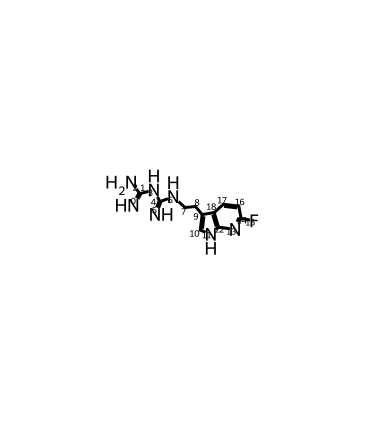 N=C(N)NC(=N)NCCc1c[nH]c2nc(F)ccc12